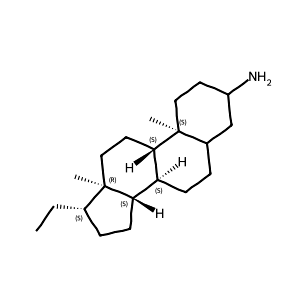 CC[C@H]1CC[C@H]2[C@@H]3CCC4CC(N)CC[C@]4(C)[C@H]3CC[C@]12C